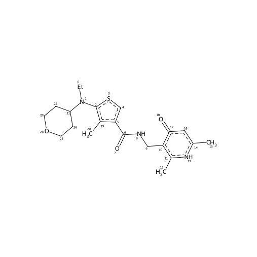 CCN(c1scc(C(=O)NCc2c(C)[nH]c(C)cc2=O)c1C)C1CCOCC1